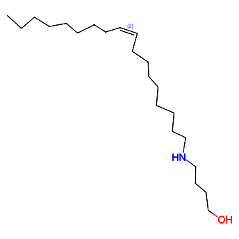 CCCCCCCC/C=C\CCCCCCCCNCCCCO